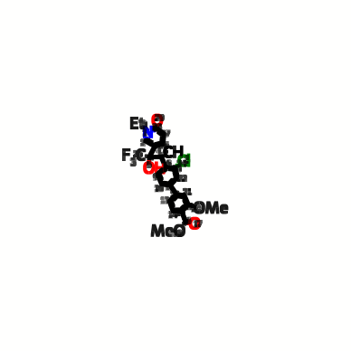 CCn1cc([C@@](O)([C@@H](C)c2ccc(-c3ccc(C(=O)OC)c(OC)c3)cc2Cl)C(F)(F)F)ccc1=O